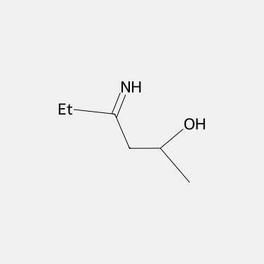 [CH2]CC(=N)CC(C)O